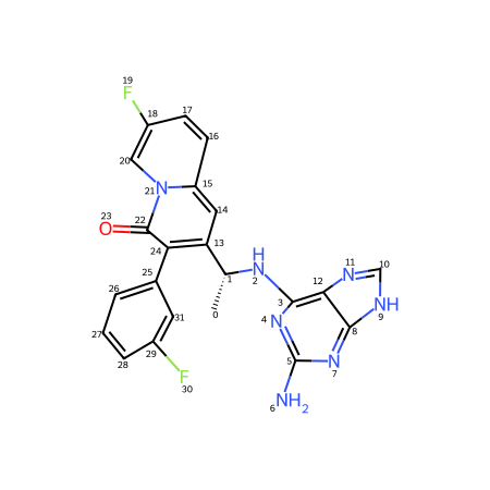 C[C@@H](Nc1nc(N)nc2[nH]cnc12)c1cc2ccc(F)cn2c(=O)c1-c1cccc(F)c1